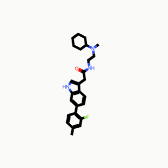 Cc1ccc(-c2ccc3c(CC(=O)NCCN(C)C4CCCCC4)c[nH]c3c2)c(F)c1